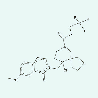 COc1ccc2ccn(CC3(O)CCN(C(=O)CCC(F)(F)F)CC34CCCC4)c(=O)c2c1